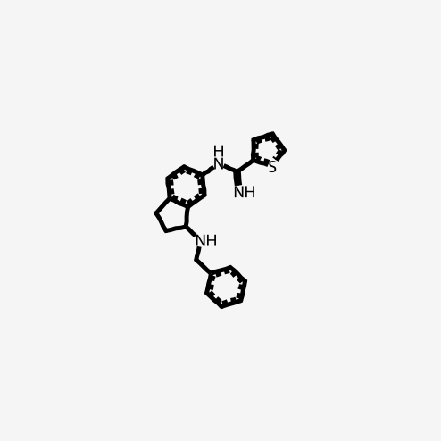 N=C(Nc1ccc2c(c1)C(NCc1ccccc1)CC2)c1cccs1